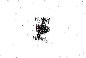 CC(C)OC(=O)C(CCCNC(=N)N)NC(=O)C(NC(=O)C(Cc1ccc(C(=N)N)cc1)c1cccc(Br)c1)C1CCCCC1.O=C(O)C(F)(F)F